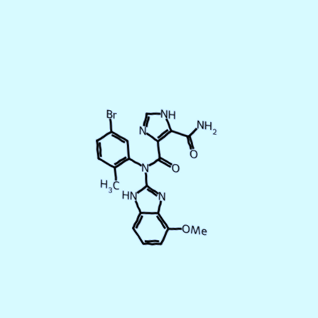 COc1cccc2[nH]c(N(C(=O)c3nc[nH]c3C(N)=O)c3cc(Br)ccc3C)nc12